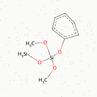 CO[Si](OC)(O[SiH3])Oc1ccccc1